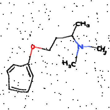 CC(CCOc1ccccc1)N(C)C